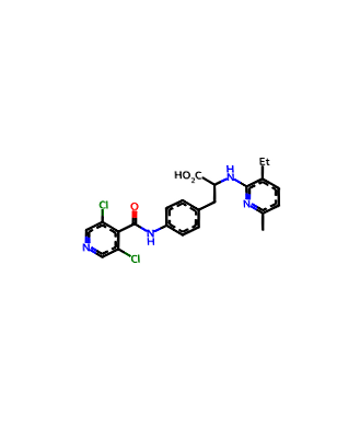 CCc1ccc(C)nc1NC(Cc1ccc(NC(=O)c2c(Cl)cncc2Cl)cc1)C(=O)O